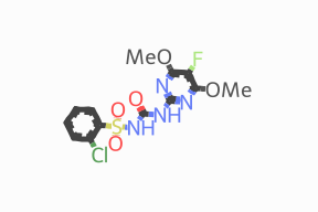 COc1nc(NC(=O)NS(=O)(=O)c2ccccc2Cl)nc(OC)c1F